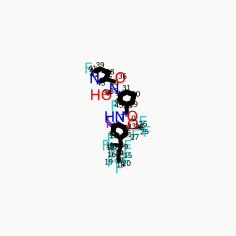 O=C(Nc1c(I)cc(C(F)(C(F)(F)F)C(F)(F)C(F)(F)F)cc1OC(F)(F)F)c1cccc(N(O)C(=O)c2ccc(F)nc2)c1F